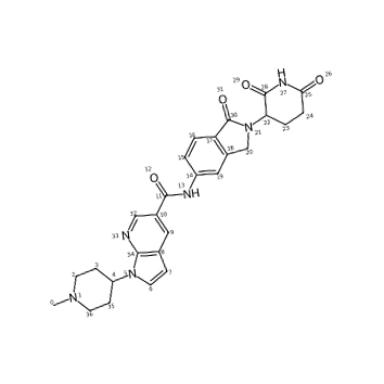 CN1CCC(n2ccc3cc(C(=O)Nc4ccc5c(c4)CN(C4CCC(=O)NC4=O)C5=O)cnc32)CC1